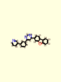 c1cncc(-c2cccc(-c3cc(-c4ccc5c(c4)oc4ccccc45)ncn3)c2)c1